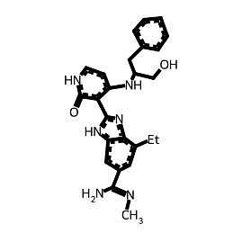 CCc1cc(C(N)=NC)cc2[nH]c(-c3c(NC(CO)Cc4ccccc4)cc[nH]c3=O)nc12